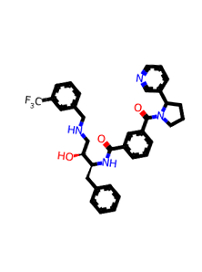 O=C(N[C@@H](Cc1ccccc1)[C@@H](O)CNCc1cccc(C(F)(F)F)c1)c1cccc(C(=O)N2CCCC2c2cccnc2)c1